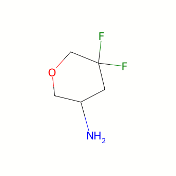 NC1COCC(F)(F)C1